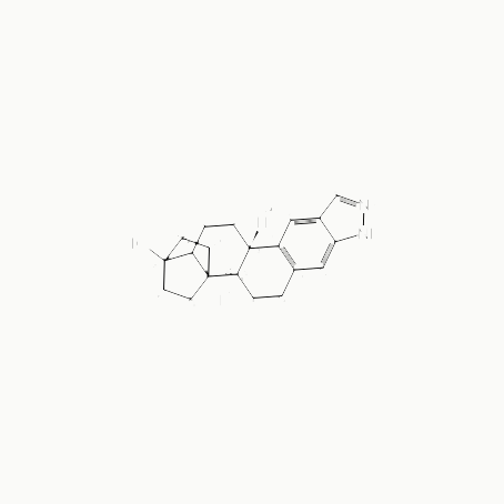 C[C@]12CC[C@@H]3c4cc5cn[nH]c5cc4CC[C@H]3C13CCC2(O)CC3